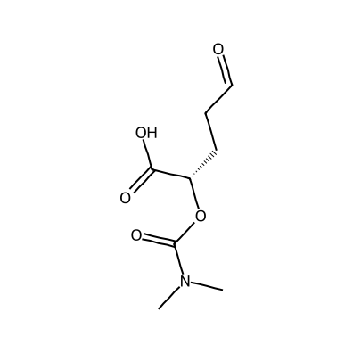 CN(C)C(=O)O[C@@H](CCC=O)C(=O)O